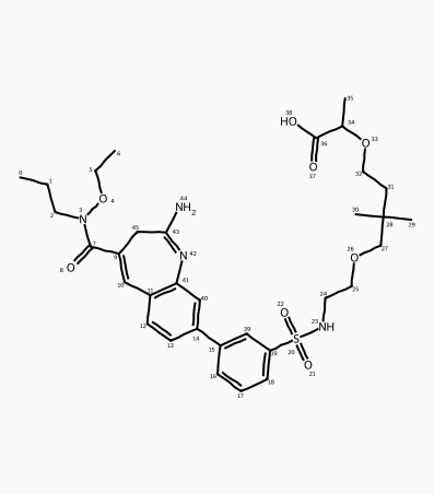 CCCN(OCC)C(=O)C1=Cc2ccc(-c3cccc(S(=O)(=O)NCCOCC(C)(C)CCOC(C)C(=O)O)c3)cc2N=C(N)C1